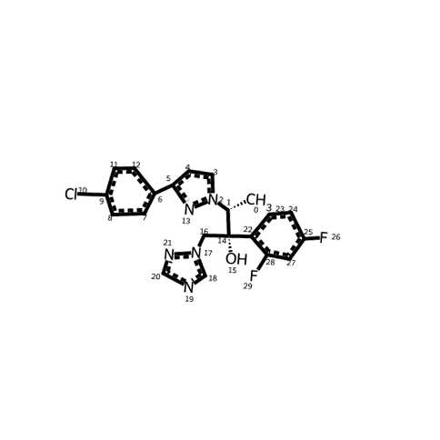 C[C@@H](n1ccc(-c2ccc(Cl)cc2)n1)[C@](O)(Cn1cncn1)c1ccc(F)cc1F